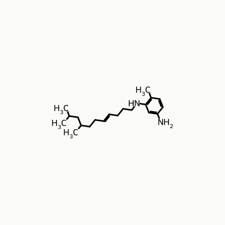 Cc1ccc(N)cc1NCCCC=CCCC(C)CC(C)C